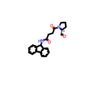 O=C[C@@H]1CCCN1C(=O)CCC(=O)NC1c2ccccc2-c2ccccc21